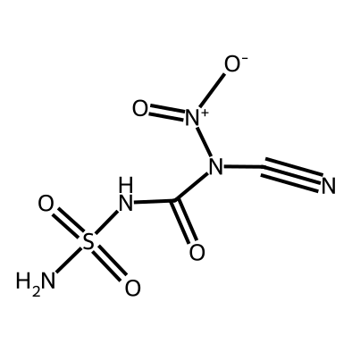 N#CN(C(=O)NS(N)(=O)=O)[N+](=O)[O-]